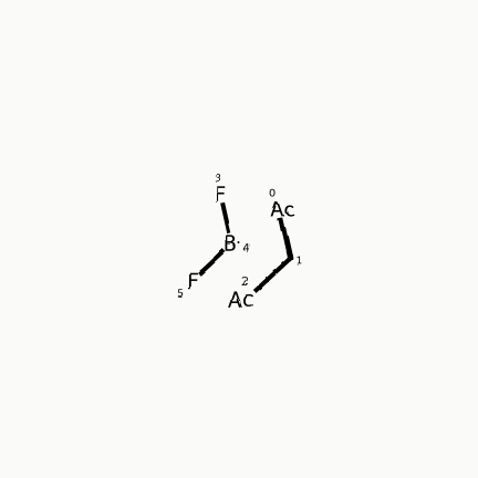 CC(=O)CC(C)=O.F[B]F